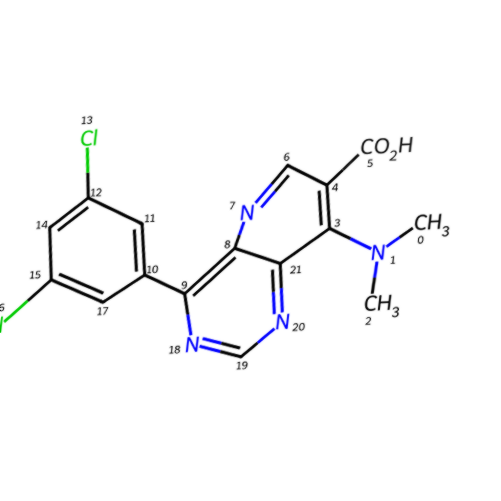 CN(C)c1c(C(=O)O)cnc2c(-c3cc(Cl)cc(Cl)c3)ncnc12